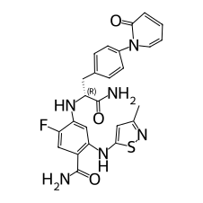 Cc1cc(Nc2cc(N[C@H](Cc3ccc(-n4ccccc4=O)cc3)C(N)=O)c(F)cc2C(N)=O)sn1